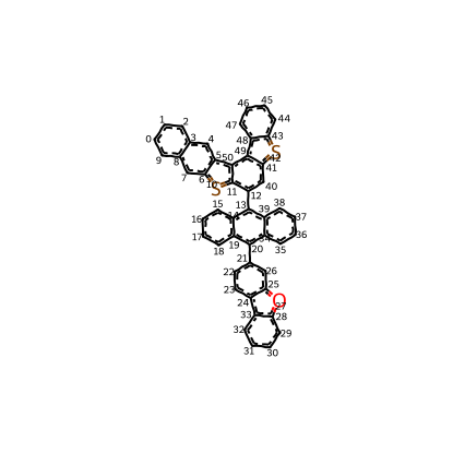 c1ccc2cc3c(cc2c1)sc1c(-c2c4ccccc4c(-c4ccc5c(c4)oc4ccccc45)c4ccccc24)cc2sc4ccccc4c2c13